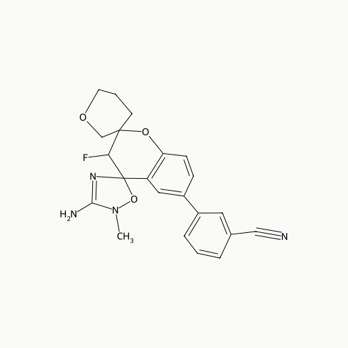 CN1OC2(N=C1N)c1cc(-c3cccc(C#N)c3)ccc1OC1(CCCOC1)C2F